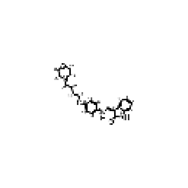 O=C1Nc2ccccc2C1=CNc1ccc(OCCCCN2CCOCC2)cc1